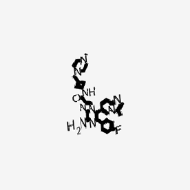 Cc1cnc2ccc(-c3c(-c4ccc(F)cc4)nc(N)c4nc(C(=O)NC56CC(CN7CCN(C)CC7)(C5)C6)cn34)cn12